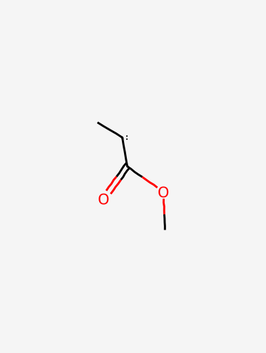 C[C]C(=O)OC